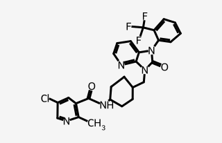 Cc1ncc(Cl)cc1C(=O)NC1CCC(Cn2c(=O)n(-c3ccccc3C(F)(F)F)c3cccnc32)CC1